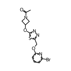 CC(=O)N1CC(Oc2nnc(COc3cccc(Br)n3)s2)C1